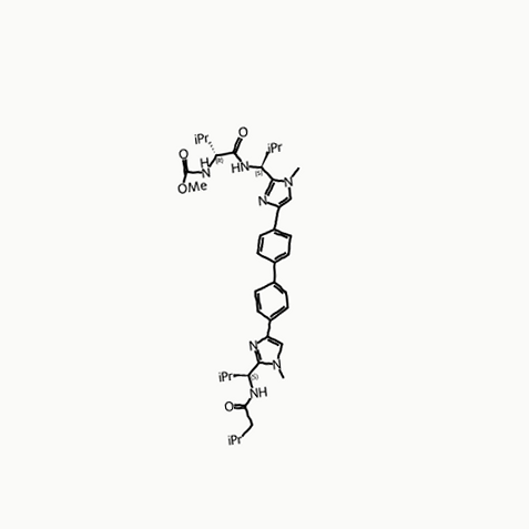 COC(=O)N[C@@H](C(=O)N[C@H](c1nc(-c2ccc(-c3ccc(-c4cn(C)c([C@@H](NC(=O)CC(C)C)C(C)C)n4)cc3)cc2)cn1C)C(C)C)C(C)C